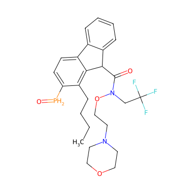 CCCCc1c([PH2]=O)ccc2c1C(C(=O)N(CC(F)(F)F)OCCN1CCOCC1)c1ccccc1-2